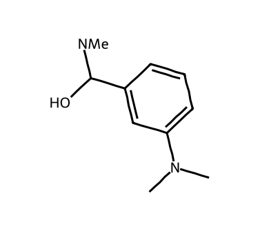 CNC(O)c1cccc(N(C)C)c1